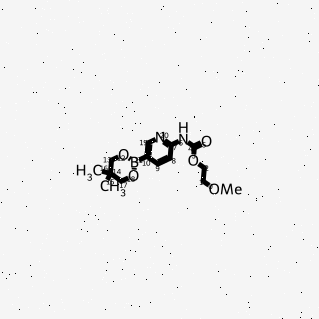 COCCOC(=O)Nc1ccc(B2OCC(C)(C)CO2)cn1